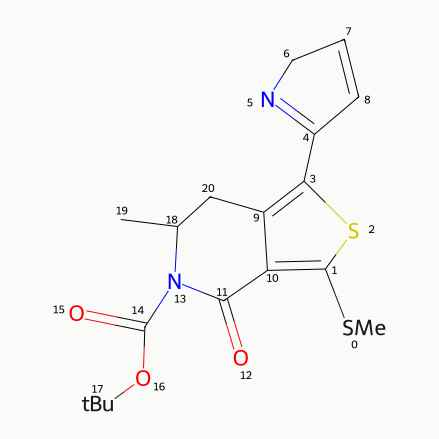 CSc1sc(C2=NCC=C2)c2c1C(=O)N(C(=O)OC(C)(C)C)C(C)C2